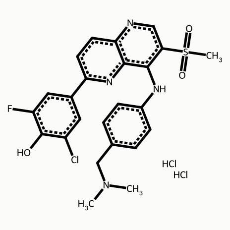 CN(C)Cc1ccc(Nc2c(S(C)(=O)=O)cnc3ccc(-c4cc(F)c(O)c(Cl)c4)nc23)cc1.Cl.Cl